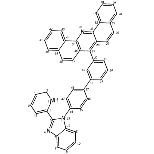 C1=CCNC(c2nc3ccccc3n2-c2ccc(-c3cccc(-c4c5ccc6ccccc6c5nc5c4ccc4ccccc45)c3)cc2)=C1